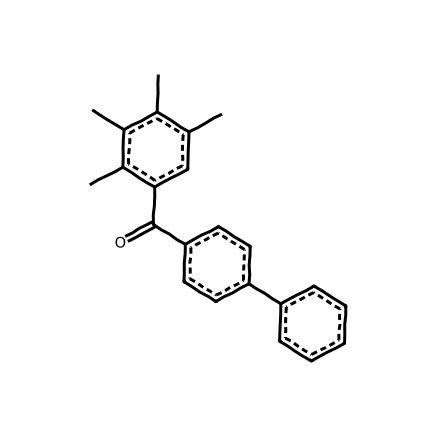 Cc1cc(C(=O)c2ccc(-c3ccccc3)cc2)c(C)c(C)c1C